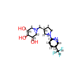 OC1[C@H](O)CN(C[C@H]2CCN(c3ccc(C(F)(F)F)cn3)C2)C[C@@H]1O